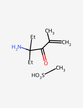 C=C(C)C(=O)C(N)(CC)CC.CS(=O)(=O)O